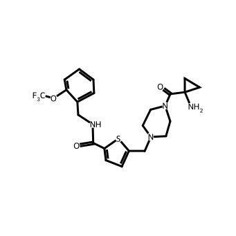 NC1(C(=O)N2CCN(Cc3ccc(C(=O)NCc4ccccc4OC(F)(F)F)s3)CC2)CC1